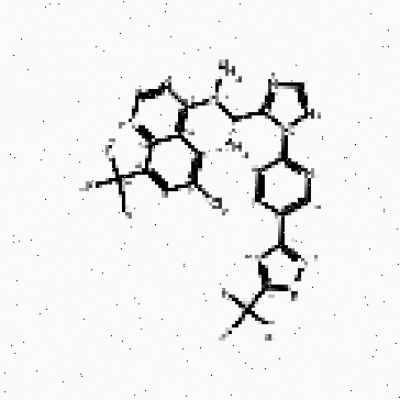 C[C@@H](c1ncnn1-c1ccc(-c2noc(C(F)(F)F)n2)cn1)N(C)c1ncnc2c(C(F)(F)F)cc(Cl)cc12